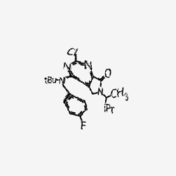 CC(C)C(C)N1Cc2c(nc(Cl)nc2N(c2ccc(F)cc2)C(C)(C)C)C1=O